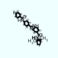 CC1(C)C2CCC1(C)C(NC(=O)c1ccc3[nH]c(-c4ccc(NC(=O)c5ccc(F)cc5)cc4)nc3c1)C2